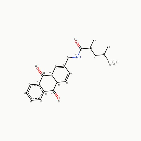 CC(CC(C)C(=O)NCC1=CC2C(=O)c3ccccc3C(=O)C2C=C1)C(=O)O